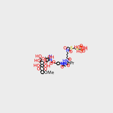 COc1cccc2c1C(=O)c1c(O)c3c(c(O)c1C2=O)C[C@@](O)(C(=O)CO)CC3O[C@H]1C[C@H](NC(=O)OCc2ccc(NC(=O)[C@H](C)NC(=O)[C@@H](NC(=O)CCCCCN3C(=O)CC(SCCCSCC(P(=O)(O)O)P(=O)(O)O)C3=O)C(C)C)cc2)[C@H](O)[C@H](C)O1